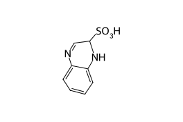 O=S(=O)(O)C1C=Nc2ccccc2N1